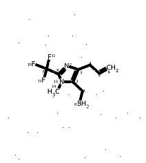 BCc1c(CC=C)nc(C(F)(F)F)n1C